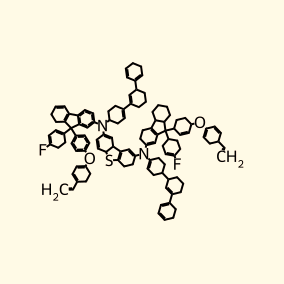 C=CC1=CC=C(Oc2ccc(C3(C4=CC=C(F)CC4)C4=C(C=CCC4)c4ccc(N(C5=CC6C7=C(CCC(N(C8=CC9=C(CC8)C8CCCCC8C9(C8C=CC(OC9=CCC(C=C)C=C9)CC8)C8CC=C(F)CC8)C8=CCC(C9C=C(C%10=CC=CCC%10)CCC9)CC8)=C7)SC6C=C5)C5CC=C(C6=CC(C7=CCCC=C7)CCC6)CC5)cc43)cc2)CC1